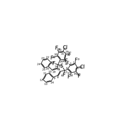 Fc1c(F)c(C(F)(C=Cc2ccccc2)SC(F)(C=Cc2ccccc2)c2c(F)c(F)c(Cl)c(F)c2F)c(F)c(F)c1Cl